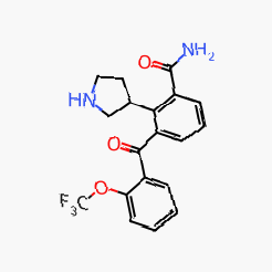 NC(=O)c1cccc(C(=O)c2ccccc2OC(F)(F)F)c1C1CCNC1